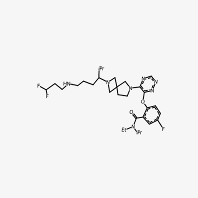 CCN(C(=O)c1cc(F)ccc1Oc1nncnc1N1CCC2(C1)CN(C(CCCNCCC(F)F)C(C)C)C2)C(C)C